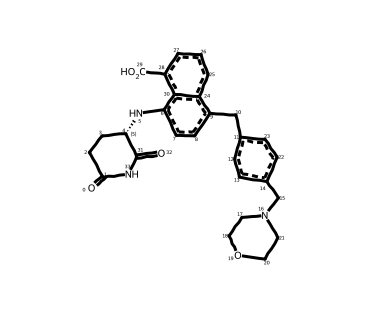 O=C1CC[C@H](Nc2ccc(Cc3ccc(CN4CCOCC4)cc3)c3cccc(C(=O)O)c23)C(=O)N1